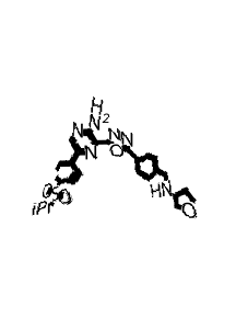 C/C=C(\C=C/C(C)S(=O)(=O)C(C)C)c1cnc(N)c(-c2nnc(C3C=CC(CN[C@@H]4CCOC4)=CC3)o2)n1